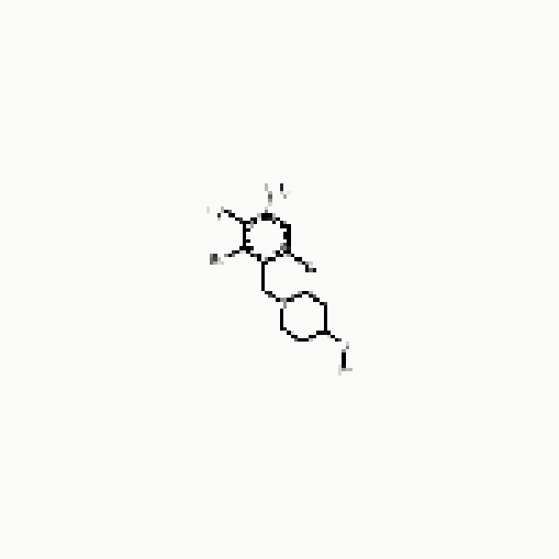 CCOC1CCN(Cc2c(CC)cc(C)c(N)c2CC)CC1